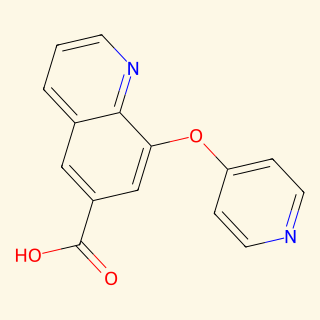 O=C(O)c1cc(Oc2ccncc2)c2ncccc2c1